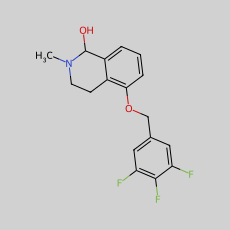 CN1CCc2c(OCc3cc(F)c(F)c(F)c3)cccc2C1O